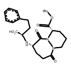 CC(C)(C)OC(=O)[C@@H]1CCCN2C(=O)CC[C@H](N[C@H](CCc3ccccc3)C(=O)O)C(=O)N12